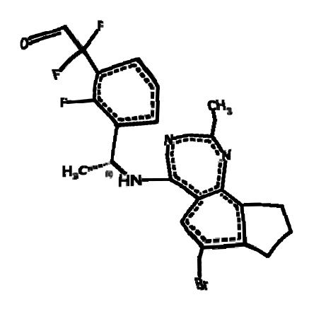 Cc1nc(N[C@H](C)c2cccc(C(F)(F)C=O)c2F)c2cc(Br)c3c(c2n1)CCC3